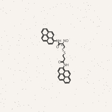 O=N[C@@H](CSSCCC(=O)Nc1ccc2ccc3cccc4ccc1c2c34)C(=O)Nc1ccc2ccc3cccc4ccc1c2c34